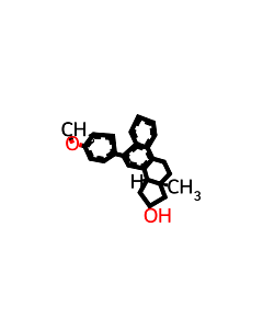 COc1ccc(-c2cc3c(c4ccccc24)CC[C@]2(C)C[C@@H](O)C[C@@H]32)cc1